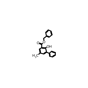 Cc1cc(C(=O)OCc2ccccc2)c(O)c(-c2ccccc2)c1